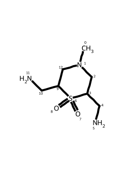 CN1CC(CN)S(=O)(=O)C(CN)C1